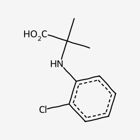 CC(C)(Nc1ccccc1Cl)C(=O)O